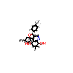 CC(C)C1CCC2(C1)O[C@H](c1ccc(C(F)(F)F)cc1)c1cnc3c(c12)[C@@H](O)CC(C)(C)[C@@H]3O